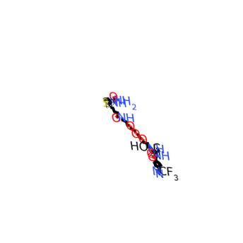 NC(=O)N[C@H]1CCS[C@H]1CCCCC(=O)NCCCOCCOCCOCCCNC(=O)[C@@H](CC(=O)O)NC(=O)c1ccc(C2(C(F)(F)F)N=N2)cc1